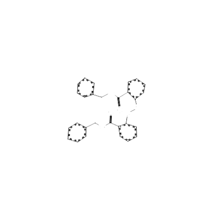 O=C(OCc1ccccc1)c1ccccc1SSc1ccccc1C(=O)OCc1ccccc1